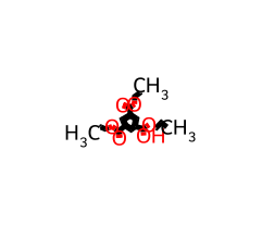 CCCOC(=O)c1cc(C(=O)OCCC)cc(C(O)OCCC)c1